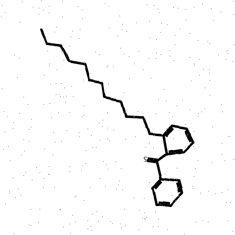 CCCCCCCCCCCCc1ccccc1C(=S)c1ccccc1